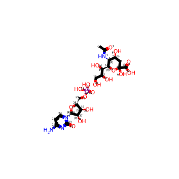 CC(=O)N[C@@H]1[C@@H](O)CC(O)(C(=O)O)O[C@H]1C(O)C(O)CO.Nc1ccn([C@@H]2O[C@H](COP(=O)(O)O)[C@@H](O)[C@H]2O)c(=O)n1